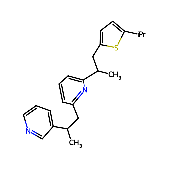 CC(C)c1ccc(CC(C)c2cccc(CC(C)c3cccnc3)n2)s1